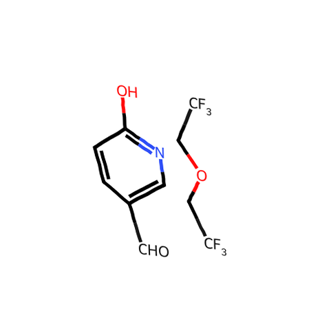 FC(F)(F)COCC(F)(F)F.O=Cc1ccc(O)nc1